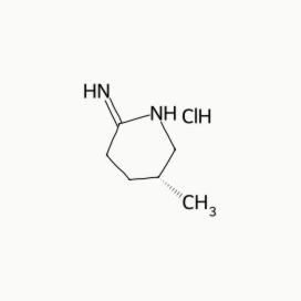 C[C@@H]1CCC(=N)NC1.Cl